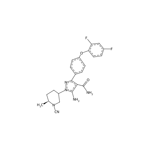 C[C@H]1CCC(n2nc(-c3ccc(Oc4ccc(F)cc4F)cc3)c(C(N)=O)c2N)CN1C#N